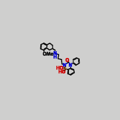 COc1cccc2c1CC(CNCCCCN1C(=O)N(c3ccccc3)c3ccccc3S1(O)O)CC2